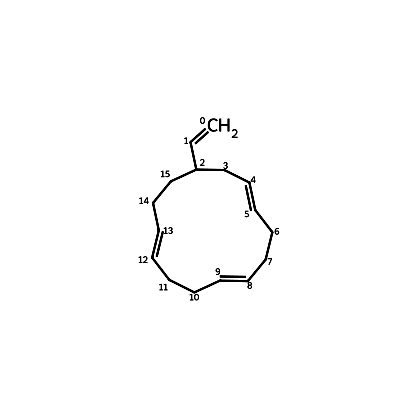 C=CC1C/C=C/CC/C=C/CC/C=C/CC1